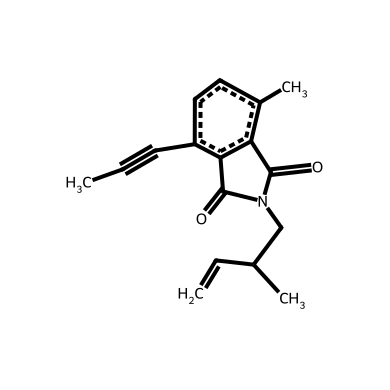 C=CC(C)CN1C(=O)c2c(C)ccc(C#CC)c2C1=O